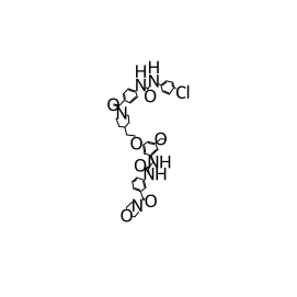 COc1cc(NC(=O)Nc2cccc(C(=O)N3CCOCC3)c2)cc(OCCC2CCN(C(=O)c3ccc(NC(=O)Nc4ccc(Cl)cc4)cc3)CC2)c1